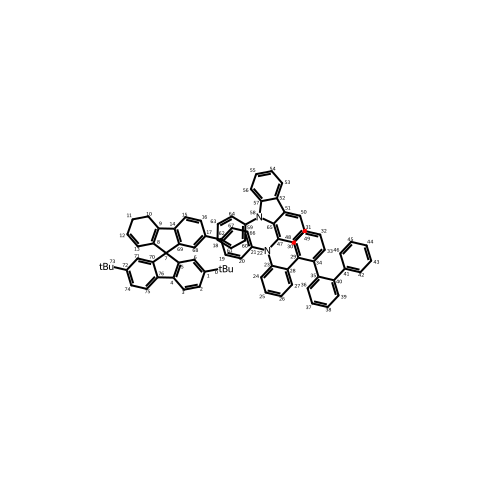 CC(C)(C)c1ccc2c(c1)C1(C3=C(CCC=C3)c3ccc(-c4ccc(N(c5ccccc5-c5ccccc5-c5ccccc5-c5ccccc5)c5cccc6c7ccccc7n(-c7ccccc7)c56)cc4)cc31)c1cc(C(C)(C)C)ccc1-2